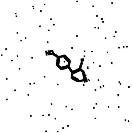 Oc1ccc(-c2ccncc2F)cc1